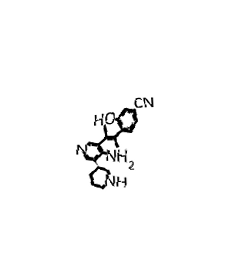 C/C(=C(/C)c1cncc([C@H]2CCCNC2)c1N)c1ccc(C#N)cc1O